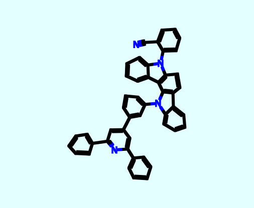 N#Cc1ccccc1-n1c2ccccc2c2c1ccc1c3ccccc3n(-c3cccc(-c4cc(-c5ccccc5)nc(-c5ccccc5)c4)c3)c12